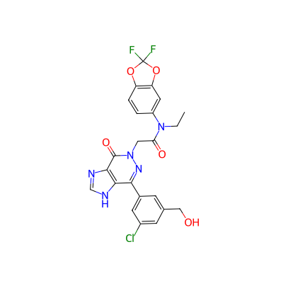 CCN(C(=O)Cn1nc(-c2cc(Cl)cc(CO)c2)c2[nH]cnc2c1=O)c1ccc2c(c1)OC(F)(F)O2